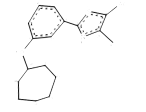 CC(=O)c1sc(-c2cccc(OC3CCCCCC3)c2)nc1C